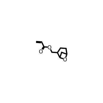 C=CC(=O)OCC1CCC2CC1O2